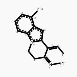 C/C=C1\C(=N/C(C)C)CCn2c1cc1c(F)cccc12